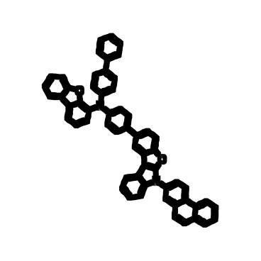 c1ccc(-c2ccc(N(c3ccc(-c4ccc5oc6c(c5c4)c4ccccc4n6-c4ccc5c(ccc6ccccc65)c4)cc3)c3cccc4c3oc3ccccc34)cc2)cc1